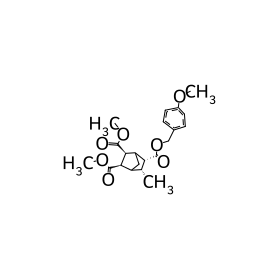 COC(=O)[C@@H]1C2CC([C@H](C(=O)OCc3ccc(OC)cc3)[C@@H]2C)[C@@H]1C(=O)OC